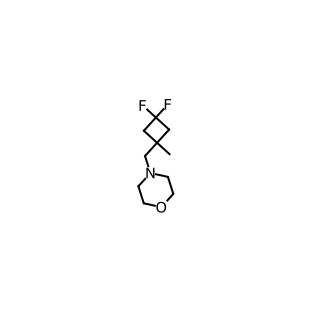 CC1(CN2CCOCC2)CC(F)(F)C1